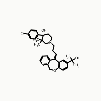 CC(C)(O)c1ccc2c(c1)/C(=C/CCN1CC[C@](O)(c3ccc(Cl)cc3)C(C)(C)C1)c1cccnc1CO2